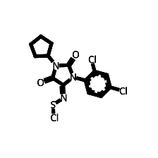 O=C1C(=NSCl)N(c2ccc(Cl)cc2Cl)C(=O)N1C1CCCC1